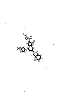 CCOC(=O)c1nn2c(-c3cn[nH]c3)cc(N3Cc4ccccc4C3)nc2c1C